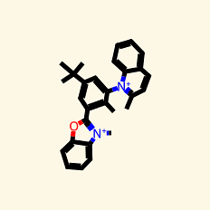 Cc1c(-c2oc3ccccc3[n+]2C)cc(C(C)(C)C)cc1-[n+]1c(C)ccc2ccccc21